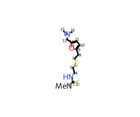 CNC(=S)NCCSCCc1ccc(CN(C)C)o1